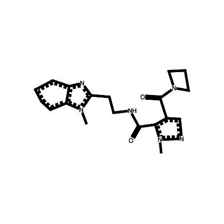 Cn1ncc(C(=O)N2CCC2)c1C(=O)NCCc1nc2ccccc2n1C